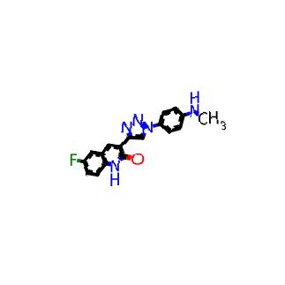 CNc1ccc(-n2cc(-c3cc4cc(F)ccc4[nH]c3=O)nn2)cc1